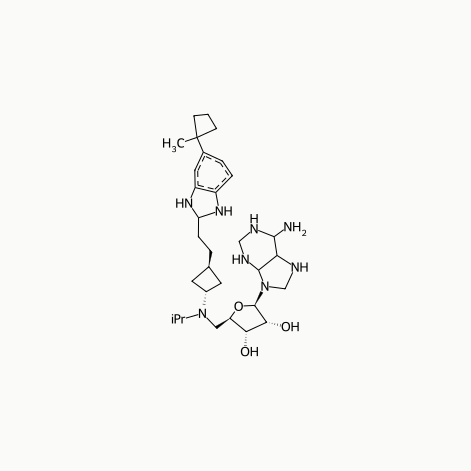 CC(C)N(C[C@H]1O[C@@H](N2CNC3C(N)NCNC32)[C@H](O)[C@@H]1O)[C@H]1C[C@H](CCC2Nc3ccc(C4(C)CCC4)cc3N2)C1